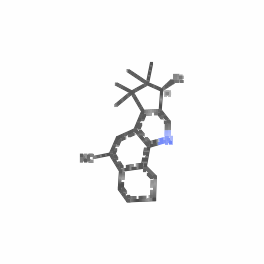 CC[C@H]1c2cnc3c(cc(C#N)c4ccccc43)c2C(C)(C)C1(C)C